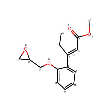 CC/C(=C\C(=O)OC)c1ccccc1OCC1CO1